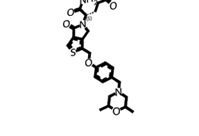 CC1CN(Cc2ccc(OCc3scc4c3CN([C@@H](CCC(=O)OC(C)(C)C)C(N)=O)C4=O)cc2)CC(C)O1